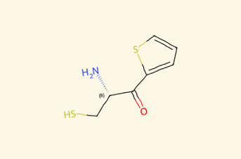 N[C@@H](CS)C(=O)c1cccs1